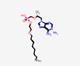 CCCCCCCCCCCCCCCCCOCCOP(=O)(O)CO[C@H](C)Cn1cnc2c(N)ncnc21.N